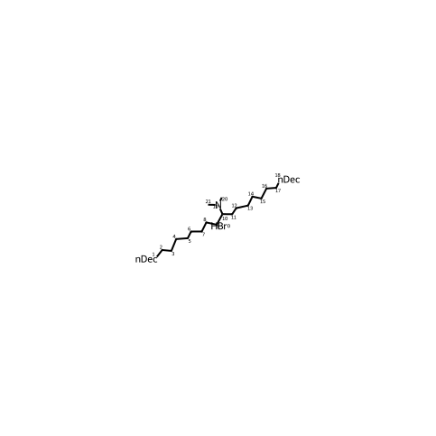 Br.CCCCCCCCCCCCCCCCCCC(CCCCCCCCCCCCCCCCC)N(C)C